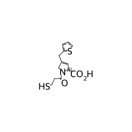 O=C(O)[C@@H]1C=C(Cc2cccs2)CN1C(=O)CCS